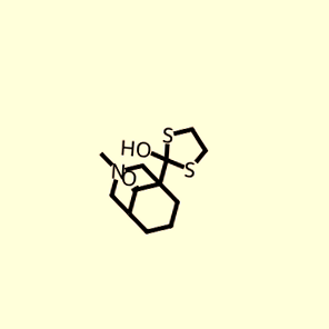 CN1CC2CCCC(C3(O)SCCS3)(C1)C2=O